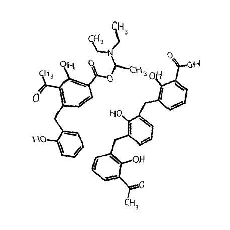 CC(=O)c1cccc(Cc2cccc(Cc3cccc(C(=O)O)c3O)c2O)c1O.CCN(CC)C(C)OC(=O)c1ccc(Cc2ccccc2O)c(C(C)=O)c1O